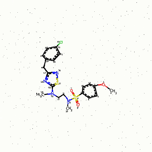 COc1ccc(S(=O)(=O)N(C)CCN(C)c2nc(Cc3ccc(Cl)cc3)ns2)cc1